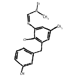 CCN(C)/C=N\c1cc(C)cc(Cc2cccc(C#N)c2)c1Cl